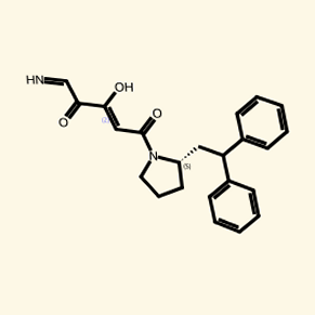 N=CC(=O)/C(O)=C/C(=O)N1CCC[C@H]1CC(c1ccccc1)c1ccccc1